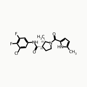 Cc1ccc(C(=O)N2CC[C@H](C(=O)Nc3cc(F)c(F)c(Cl)c3)[C@@H]2C)[nH]1